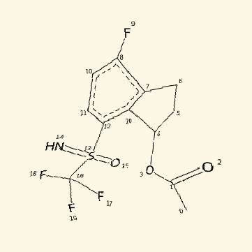 CC(=O)OC1CCc2c(F)ccc(S(=N)(=O)C(F)(F)F)c21